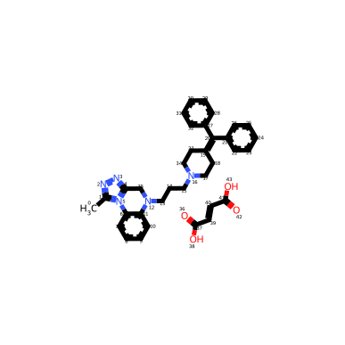 Cc1nnc2n1-c1ccccc1N(CCCN1CCC(=C(c3ccccc3)c3ccccc3)CC1)C2.O=C(O)C=CC(=O)O